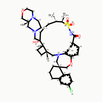 C[C@@H]1[C@@H](C)CCC[C@](O)(CN2CCN3CCOC[C@H]3C2)[C@@H]2CC[C@H]2CN2C[C@@]3(CCCc4cc(Cl)ccc43)COc3ccc(cc32)C(=O)NS1(=O)=O